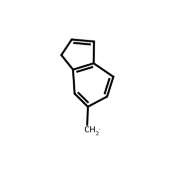 [CH2]c1ccc2c(c1)CC=C2